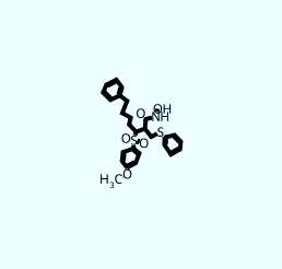 COc1ccc(S(=O)(=O)C(CCCCc2ccccc2)C(CSc2ccccc2)C(=O)NO)cc1